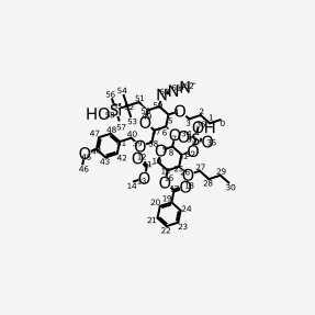 CCCCOC1[C@H](OC2O[C@@H](C(=O)OC)C(OC(=O)c3ccccc3)[C@@H](OCCCC)[C@@H]2OS(=O)(=O)O)C(COCc2ccc(OC)cc2)O[C@@H](CC(C)(C)[Si](C)(C)O)[C@H]1N=[N+]=[N-]